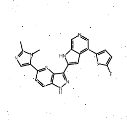 Cc1ncc(-c2ccc3[nH]nc(-c4cc5c(-c6ccc(F)s6)cncc5[nH]4)c3n2)n1C